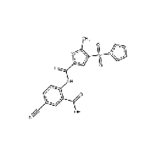 Cc1sc(C(=O)Nc2ccc(C#N)cc2C(=O)O)cc1S(=O)(=O)n1cccc1